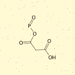 O=POC(=O)CC(=O)O